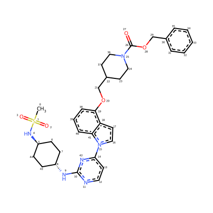 CS(=O)(=O)N[C@H]1CC[C@H](Nc2nccc(-n3ccc4c(OCC5CCN(C(=O)OCc6ccccc6)CC5)cccc43)n2)CC1